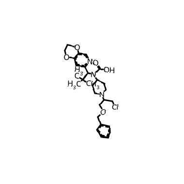 CC(C)(C)C(c1cc2c(cn1)OCCO2)N(C(=O)O)C1CCN(C(CCl)COCc2ccccc2)CC1